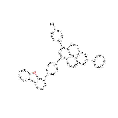 CC(C)(C)c1ccc(-c2cc(-c3ccc(-c4cccc5c4oc4ccccc45)cc3)c3ccc4cc(-c5ccccc5)cc5ccc2c3c45)cc1